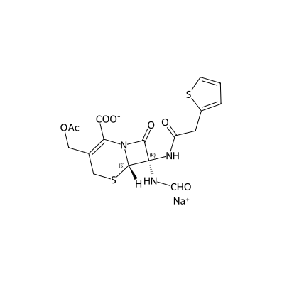 CC(=O)OCC1=C(C(=O)[O-])N2C(=O)[C@@](NC=O)(NC(=O)Cc3cccs3)[C@@H]2SC1.[Na+]